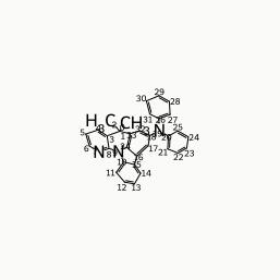 CC1(C)c2cccnc2-n2c3ccccc3c3cc(N(c4ccccc4)c4ccccc4)cc1c32